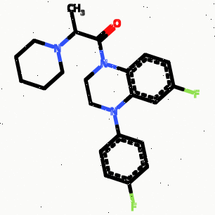 CC(C(=O)N1CCN(c2ccc(F)cc2)c2cc(F)ccc21)N1CCCCC1